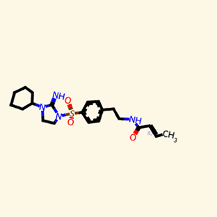 C/C=C/C(=O)NCCc1ccc(S(=O)(=O)N2CCN(C3CCCCC3)C2=N)cc1